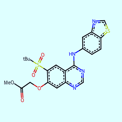 COC(=O)COc1cc2ncnc(Nc3ccc4scnc4c3)c2cc1S(=O)(=O)C(C)(C)C